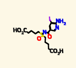 Nc1ncc(C(=O)N=S(=O)(CCCCC(=O)O)CCCCC(=O)O)cc1I